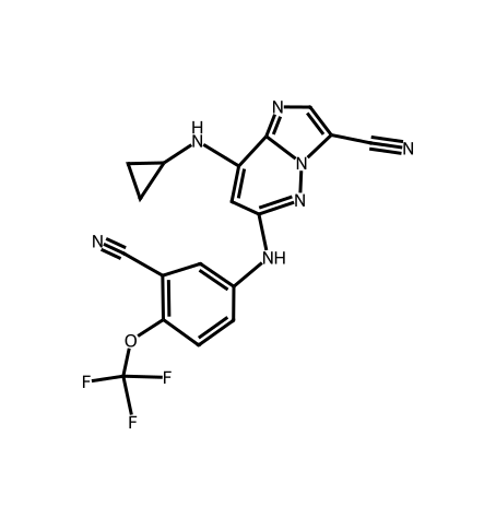 N#Cc1cc(Nc2cc(NC3CC3)c3ncc(C#N)n3n2)ccc1OC(F)(F)F